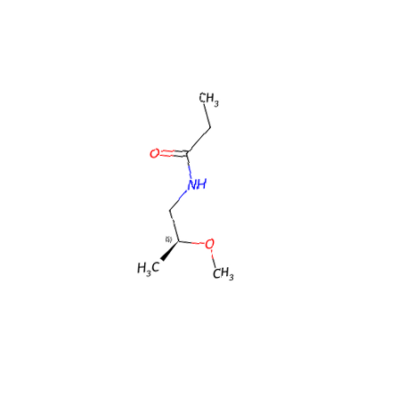 CCC(=O)NC[C@H](C)OC